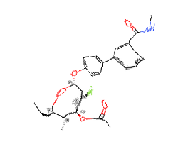 CC[C@H]1O[C@H](Oc2ccc(-c3cccc(C(=O)NC)c3)cc2)[C@@H](F)[C@@H](OC(C)=O)[C@@H]1C